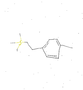 Cc1ccc(CCS(C)(C)C)cc1